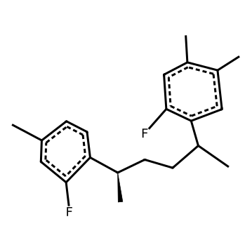 Cc1ccc([C@H](C)CCC(C)c2cc(C)c(C)cc2F)c(F)c1